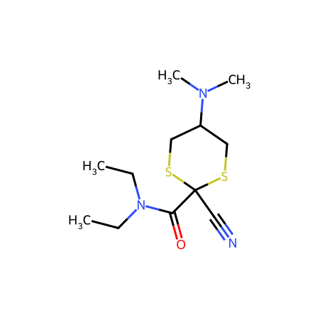 CCN(CC)C(=O)C1(C#N)SCC(N(C)C)CS1